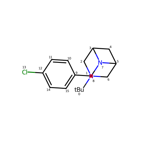 CC(C)(C)N1CC2CC(C1)N2Cc1ccc(Cl)cc1